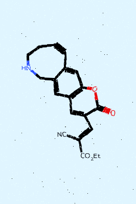 CCOC(=O)C(C#N)=Cc1cc2cc3c(cc2oc1=O)C#CCCNC3